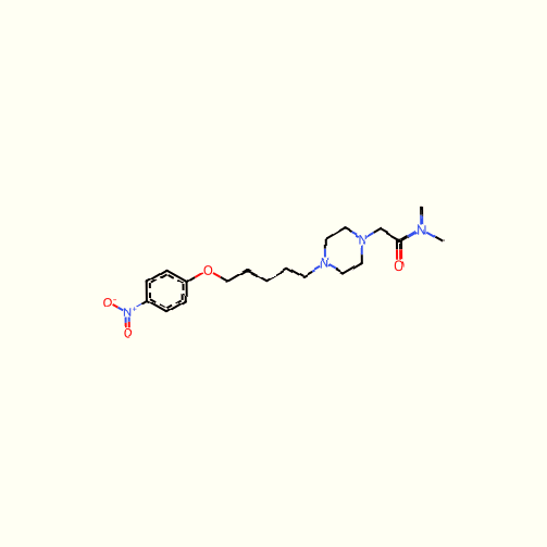 CN(C)C(=O)CN1CCN(CCCCCOc2ccc([N+](=O)[O-])cc2)CC1